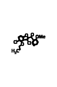 C=CCOc1c(Cl)ccc2oc(C(=O)c3ccccc3OC)c(C)c12